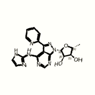 C[C@H]1O[C@@H](n2nc(-c3ccccn3)c3c(Nc4ncc[nH]4)ncnc32)[C@H](O)[C@@H]1O